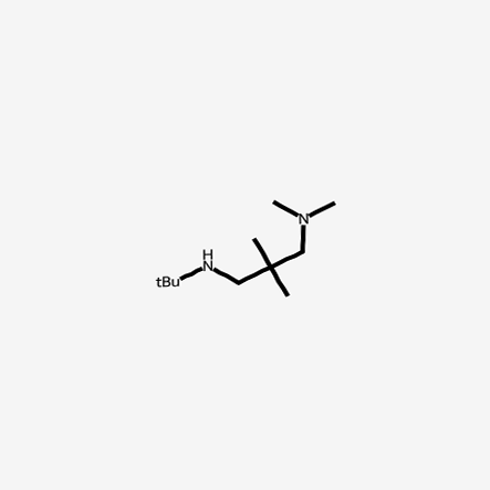 CN(C)CC(C)(C)CNC(C)(C)C